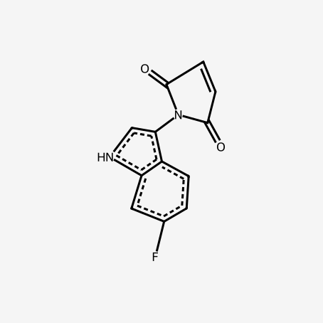 O=C1C=CC(=O)N1c1c[nH]c2cc(F)ccc12